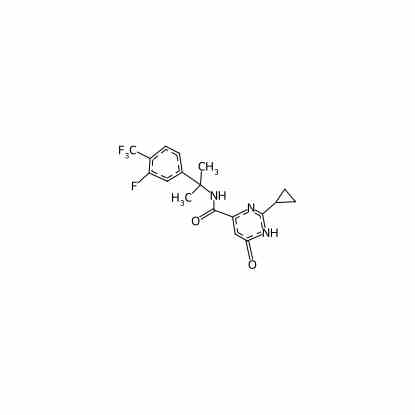 CC(C)(NC(=O)c1cc(=O)[nH]c(C2CC2)n1)c1ccc(C(F)(F)F)c(F)c1